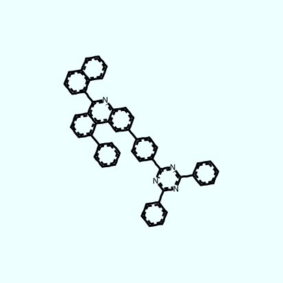 c1ccc(-c2nc(-c3ccccc3)nc(-c3ccc(-c4ccc5nc(-c6cccc7ccccc67)c6cccc(-c7ccccc7)c6c5c4)cc3)n2)cc1